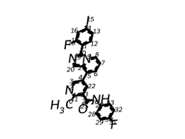 Cc1ncc(-c2cccn3c(-c4ccc(I)cc4F)ncc23)cc1C(=O)Nc1ccc(F)cc1